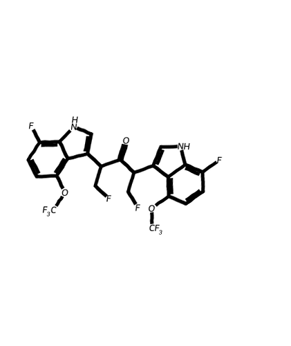 O=C(C(CF)c1c[nH]c2c(F)ccc(OC(F)(F)F)c12)C(CF)c1c[nH]c2c(F)ccc(OC(F)(F)F)c12